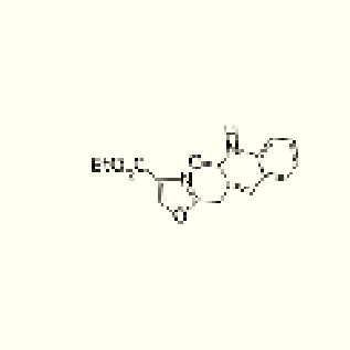 CCOC(=O)c1coc(Cc2cc3ccccc3[nH]c2=O)n1